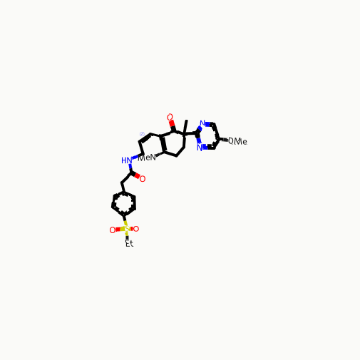 CCS(=O)(=O)c1ccc(CC(=O)NC/C=C\C2=C(NC)CCC(C)(c3ncc(OC)cn3)C2=O)cc1